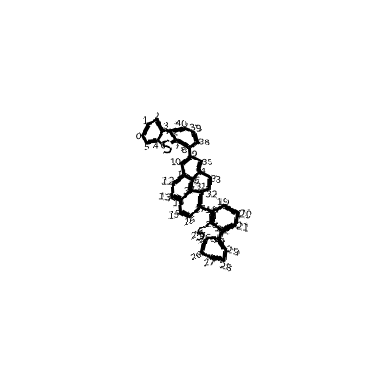 c1ccc2c(c1)sc1c(-c3cc4ccc5ccc(-c6cccc7c6sc6ccccc67)c6ccc(c3)c4c56)cccc12